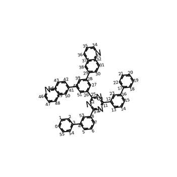 c1ccc(-c2cccc(-c3nc(-c4cccc(-c5ccccc5)c4)nc(-c4cc(-c5ccc6ncccc6c5)cc(-c5ccc6ncccc6c5)c4)n3)c2)cc1